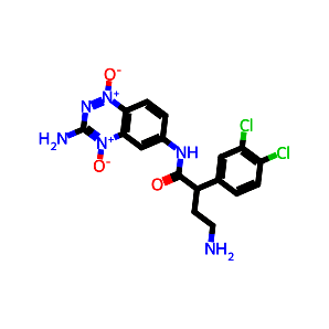 NCCC(C(=O)Nc1ccc2c(c1)[n+]([O-])c(N)n[n+]2[O-])c1ccc(Cl)c(Cl)c1